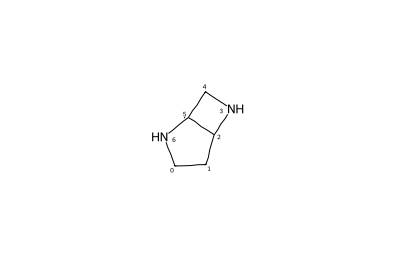 C1CC2NC[C]2N1